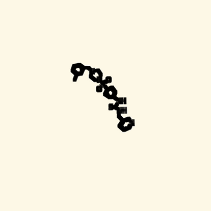 Cc1cccc(CN2CCN(S(=O)(=O)c3ccc(NC(=S)NCc4cccnc4)cc3)CC2)c1